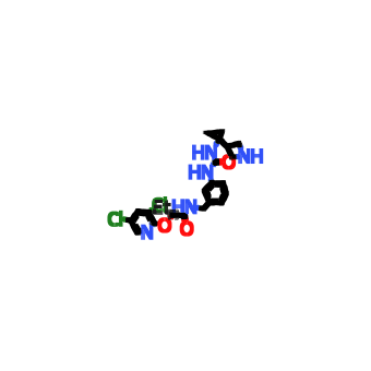 CC[C@@H](Oc1ncc(Cl)cc1Cl)C(=O)NCc1cccc(NC(=O)NC2(C3CNC3)CC2)c1